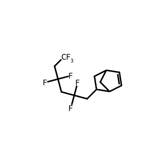 FC(F)(F)CC(F)(F)CC(F)(F)CC1CC2C=CC1C2